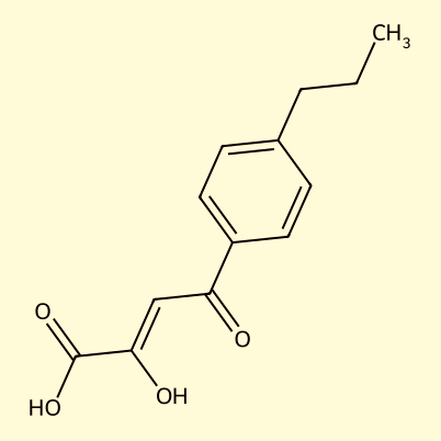 CCCc1ccc(C(=O)C=C(O)C(=O)O)cc1